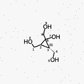 OCC1[C@@H](CO)C1(O)CO